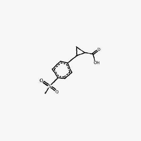 CS(=O)(=O)c1ccc(C2CC2C(=O)O)cc1